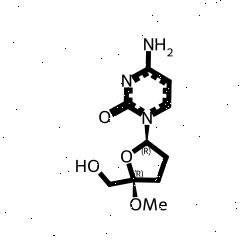 CO[C@]1(CO)CC[C@H](n2ccc(N)nc2=O)O1